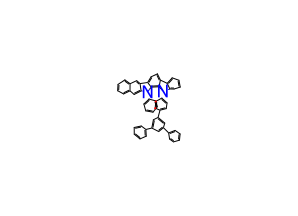 c1ccc(-c2cc(-c3ccccc3)cc(-c3ccc(-n4c5ccccc5c5ccc6c7cc8ccccc8cc7n(-c7ccccc7)c6c54)cc3)c2)cc1